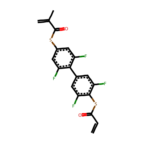 C=CC(=O)Sc1c(F)cc(-c2c(F)cc(SC(=O)C(=C)C)cc2F)cc1F